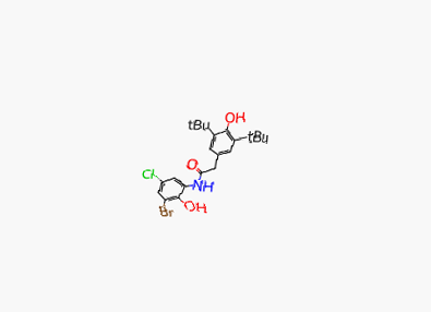 CC(C)(C)c1cc(CC(=O)Nc2cc(Cl)cc(Br)c2O)cc(C(C)(C)C)c1O